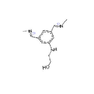 C/N=C/c1cc(/C=N/C)cc(NCCO)c1